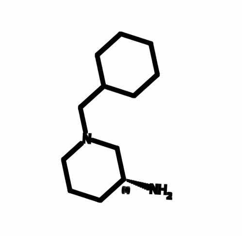 N[C@@H]1CCCN(CC2CCCCC2)C1